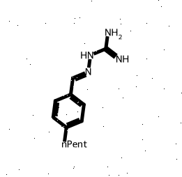 CCCCCc1ccc(/C=N/NC(=N)N)cc1